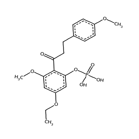 CCOc1cc(OC)c(C(=O)CCc2ccc(OC)cc2)c(OP(=O)(O)O)c1